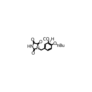 CCCCOc1ccc(CN2C(=O)NC(=O)C2=O)cc1C(=O)O